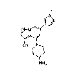 Cn1cc(-c2cc(N3CCC(N)CC3)c3c(C#N)cnn3c2)cn1